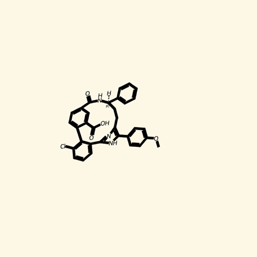 COc1ccc(-c2[nH]c3nc2CC[C@H](c2ccccc2)NC(=O)c2ccc(c(C(=O)O)c2)-c2c(Cl)cccc2-3)cc1